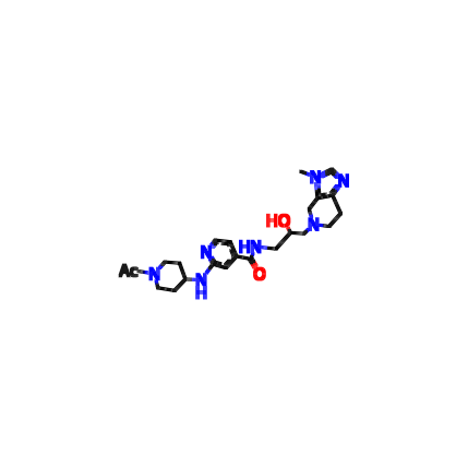 CC(=O)N1CCC(Nc2cc(C(=O)NCC(O)CN3CCc4ncn(C)c4C3)ccn2)CC1